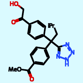 COC(=O)c1ccc(C(CC(C)C)(c2ccc(C(=O)CO)cc2)c2nn[nH]n2)cc1